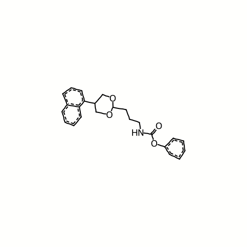 O=C(NCCCC1OCC(c2cccc3ccccc23)CO1)Oc1ccccc1